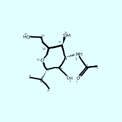 CC(=O)N[C@@H]1C(O)[C@H](C(C)C)OC(CO)[C@H]1O